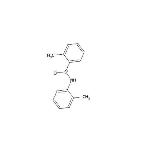 Cc1ccccc1N[S+]([O-])c1ccccc1C